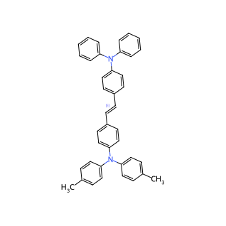 Cc1ccc(N(c2ccc(C)cc2)c2ccc(/C=C/c3ccc(N(c4ccccc4)c4ccccc4)cc3)cc2)cc1